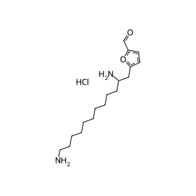 Cl.NCCCCCCCCCCC(N)Cc1ccc(C=O)o1